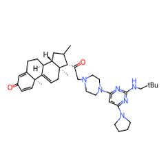 CC1C[C@H]2[C@@H]3CCC4=CC(=O)C=C[C@]4(C)C3=CC[C@]2(C)[C@H]1C(=O)CN1CCN(c2cc(N3CCCC3)nc(NCC(C)(C)C)n2)CC1